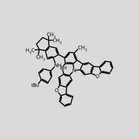 Cc1cc(-c2cc3c(cc2Nc2ccc(C(C)(C)C)cc2)C(C)(C)CCC3(C)C)c2c3c1c1cc4c(cc1n3-c1cc3c(cc1B2)oc1ccccc13)oc1ccccc14